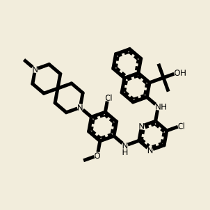 COc1cc(N2CCC3(CCN(C)CC3)CC2)c(Cl)cc1Nc1ncc(Cl)c(Nc2ccc3ccccc3c2C(C)(C)O)n1